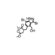 COC(=O)C[C@H](Cc1cc(Br)c2[nH]nc(Br)c2c1CO)C(=O)OC